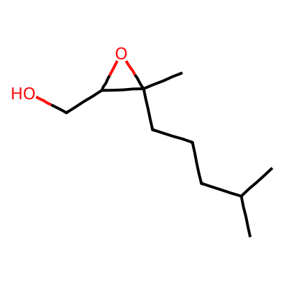 CC(C)CCCC1(C)OC1CO